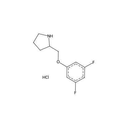 Cl.Fc1cc(F)cc(OCC2CCCN2)c1